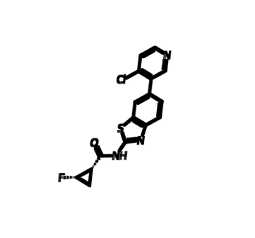 O=C(Nc1nc2ccc(-c3cnccc3Cl)cc2s1)[C@@H]1C[C@@H]1F